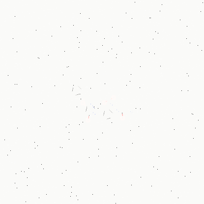 CNCC(=O)N1CN(S(C)(=O)=O)c2cc(Cn3cnc(OCc4ccc(F)cc4F)c(Cl)c3=O)ccc21